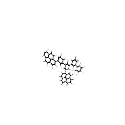 Bc1c(B)c(B)c(-c2c(B)c(B)c(B)c(-c3c(B)c(-c4c(B)c(B)c(B)c(-c5c(B)c(B)c6c(B)c(B)c7c(B)c(B)c(B)c8c(B)c(B)c5c6c78)c4B)c(B)c(-c4c(B)c(B)c5c(B)c(B)c6c(B)c(B)c(B)c7c(B)c(B)c4c5c67)c3B)c2B)c(B)c1B